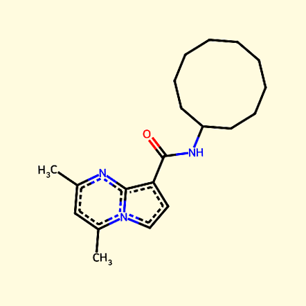 Cc1cc(C)n2ccc(C(=O)NC3CCCCCCCCC3)c2n1